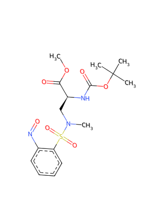 COC(=O)[C@H](CN(C)S(=O)(=O)c1ccccc1N=O)NC(=O)OC(C)(C)C